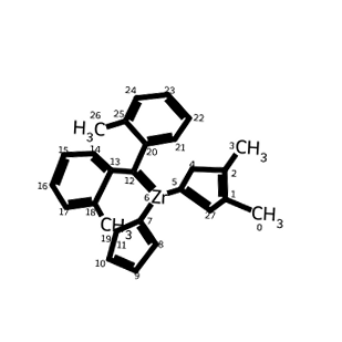 CC1=C(C)C[C]([Zr]([C]2=CC=CC2)=[C](c2ccccc2C)c2ccccc2C)=C1